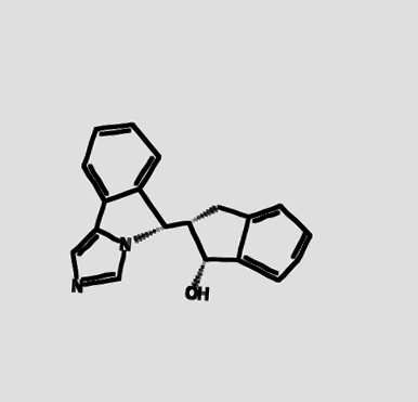 O[C@H]1c2ccccc2C[C@H]1[C@H]1c2ccccc2-c2cncn21